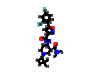 CN(C)C(=O)[C@@H]1CN(C2CCC2(C)C)CC[C@H]1NC(=O)c1cc(-c2ccc(F)cc2F)on1